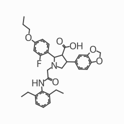 CCCOc1ccc(C2C(C(=O)O)C(c3ccc4c(c3)OCO4)CN2CC(=O)Nc2c(CC)cccc2CC)c(F)c1